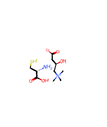 C[N+](C)(C)C[C@H](O)CC(=O)[O-].N[C@@H](CS)C(=O)O